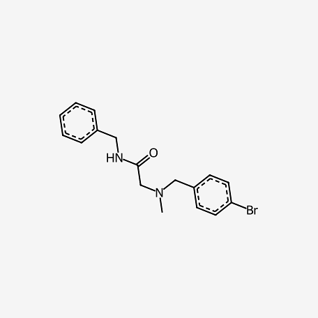 CN(CC(=O)NCc1ccccc1)Cc1ccc(Br)cc1